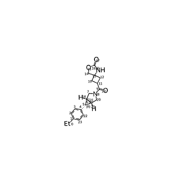 CCc1ccc([C@@H]2[C@@H]3CN(C(=O)C4CC5(COC(=O)N5)C4)C[C@@H]32)cc1